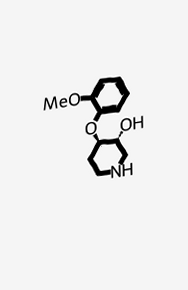 COc1ccccc1O[C@@H]1CCNC[C@H]1O